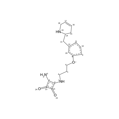 Nc1c(NCCCOc2cccc(CC3CC=CCN3)c2)c(=O)c1=O